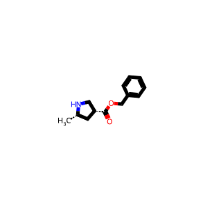 C[C@H]1C[C@@H](C(=O)OCc2ccccc2)CN1